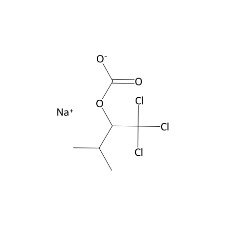 CC(C)C(OC(=O)[O-])C(Cl)(Cl)Cl.[Na+]